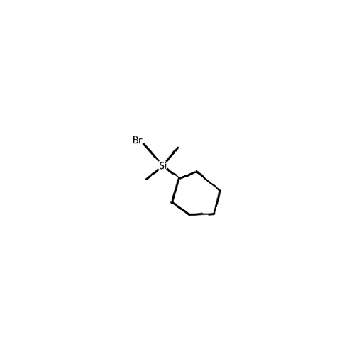 C[Si](C)(Br)C1CCCCC1